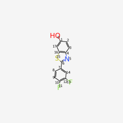 Oc1ccc2nc(-c3ccc(F)c(F)c3)sc2c1